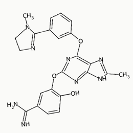 Cc1nc2c(Oc3cccc(C4=NCCN4C)c3)nc(Oc3cc(C(=N)N)ccc3O)nc2[nH]1